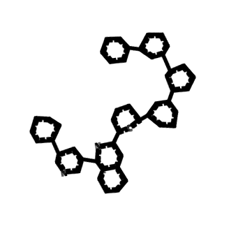 c1ccc(-c2cccc(-c3cccc(-c4cccc(-c5cccc(-c6cc7ccccc7c(-c7cncc(-c8ccccc8)c7)n6)c5)c4)c3)c2)cc1